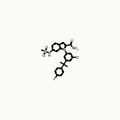 CC(C)(c1ccc(F)cc1)c1cc(Cl)cc(-n2c(C(N)=O)cc3ccc(NS(C)(=O)=O)cc32)c1